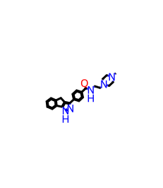 CN1CCN(CCNC(=O)c2ccc(-c3n[nH]c4c3Cc3ccccc3-4)cc2)CC1